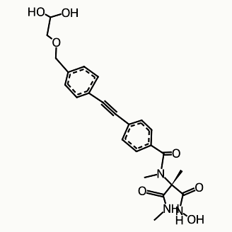 CNC(=O)[C@@](C)(C(=O)NO)N(C)C(=O)c1ccc(C#Cc2ccc(COCC(O)O)cc2)cc1